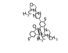 C[C@H]1CN(c2cc(F)c(-c3cnc(N4CCOC[C@@H]4C)nc3)cc2NC(=O)c2ccc(F)cc2C(F)(F)F)CCN1C